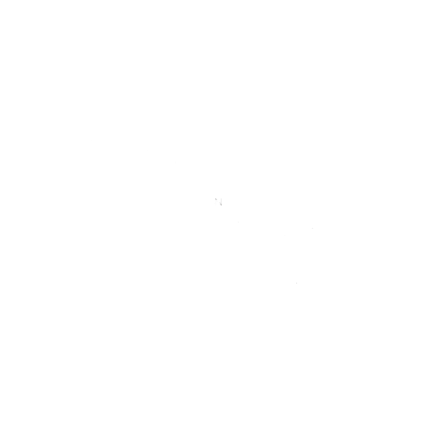 CC1(C)CCC(C)(C)c2cc(Nc3cccc4c3sc3ccccc34)ccc21